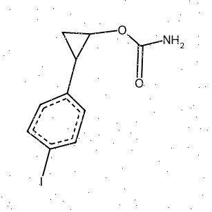 NC(=O)OC1CC1c1ccc(I)cc1